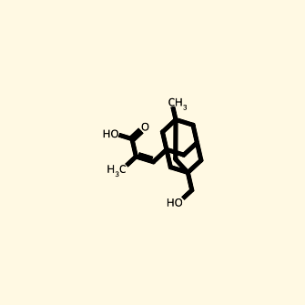 CC(=CC12CC3CC(C)(C1)CC(CO)(C3)C2)C(=O)O